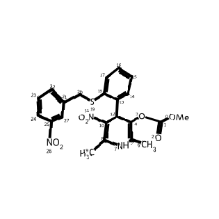 COC(=O)OC1=C(C)NC(C)=C([N+](=O)[O-])C1c1ccccc1SCc1cccc([N+](=O)[O-])c1